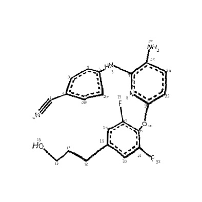 N#Cc1ccc(Nc2nc(Oc3c(F)cc(CCCO)cc3F)ccc2N)cc1